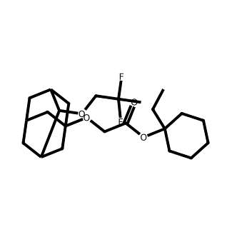 CCC1(OC(=O)COC23CC4CC(C2)C(OCC(C)(F)F)C(C4)C3)CCCCC1